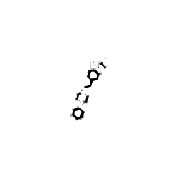 O=C1COc2cc(CCN3CCN(c4ccccc4)CC3)ccc2N1